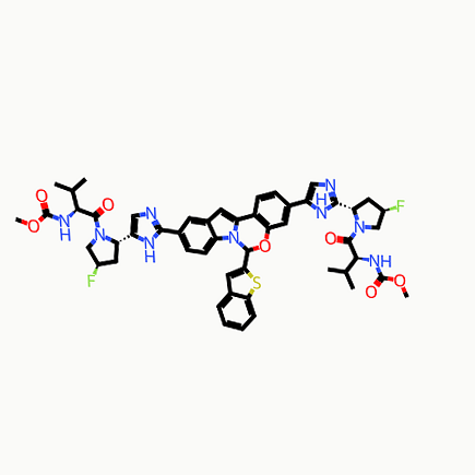 COC(=O)N[C@H](C(=O)N1C[C@H](F)C[C@H]1c1cnc(-c2ccc3c(c2)cc2n3C(c3cc4ccccc4s3)Oc3cc(-c4cnc([C@@H]5C[C@@H](F)CN5C(=O)[C@@H](NC(=O)OC)C(C)C)[nH]4)ccc3-2)[nH]1)C(C)C